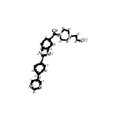 O=C(c1ccc2nc(-c3ccc(-c4cncnc4)cc3)[nH]c2c1)N1CCN(CCO)CC1